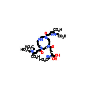 O=C(O)CN[C@@H](CCC(=O)N1CCCN(C(=O)CC[C@H](NCC(=O)O)C(O)O)CCN(C(=O)CC[C@@H](C(=O)O)N(CC(=O)O)CC(=O)O)CCCNCC1)C(=O)O